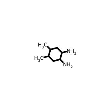 CC1CC(N)C(N)CC1C